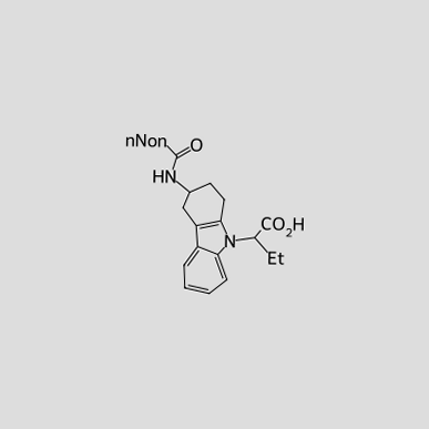 CCCCCCCCCC(=O)NC1CCc2c(c3ccccc3n2C(CC)C(=O)O)C1